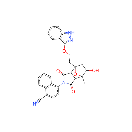 CC12OC(CCOc3n[nH]c4ccccc34)(CC1O)C1C(=O)N(c3ccc(C#N)c4ccccc34)C(=O)C12